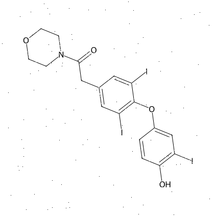 O=C(Cc1cc(I)c(Oc2ccc(O)c(I)c2)c(I)c1)N1CCOCC1